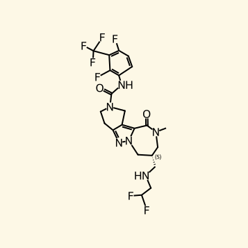 CN1C[C@H](CNCC(F)F)Cn2nc3c(c2C1=O)CN(C(=O)Nc1ccc(F)c(C(F)(F)F)c1F)CC3